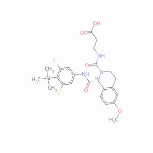 COc1ccc2c(c1)CCN(C(=O)NCCC(=O)O)[C@H]2C(=O)Nc1cc(F)c([Si](C)(C)C)c(F)c1